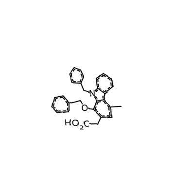 Cc1cc(CC(=O)O)c(OCc2ccccc2)c2c1c1ccccc1n2Cc1ccccc1